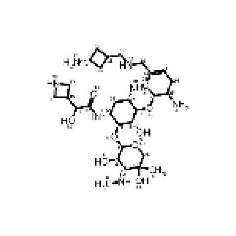 CN[C@@H]1[C@@H](O)[C@@H](O[C@@H]2[C@@H](O)[C@H](O[C@H]3OC(CNC[C@H]4C[C@H](N)C4)=CC[C@H]3N)[C@@H](N)C[C@H]2NC(=O)C(O)C2CNC2)OC[C@]1(C)O